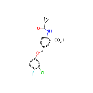 O=C(O)c1cc(COc2ccc(F)c(Cl)c2)ccc1NC(=O)C1CC1